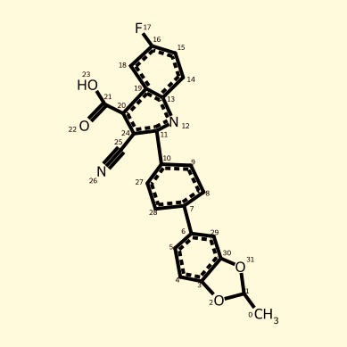 CC1Oc2ccc(-c3ccc(-c4nc5ccc(F)cc5c(C(=O)O)c4C#N)cc3)cc2O1